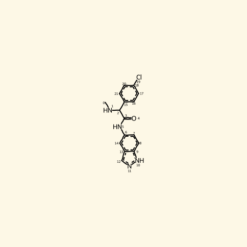 CNC(C(=O)Nc1ccc2[nH]ncc2c1)c1ccc(Cl)cc1